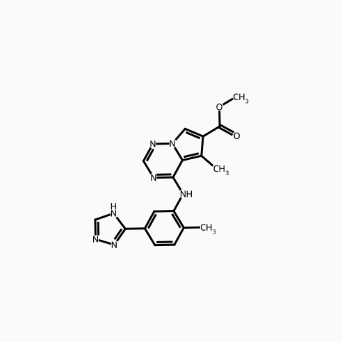 COC(=O)c1cn2ncnc(Nc3cc(-c4nnc[nH]4)ccc3C)c2c1C